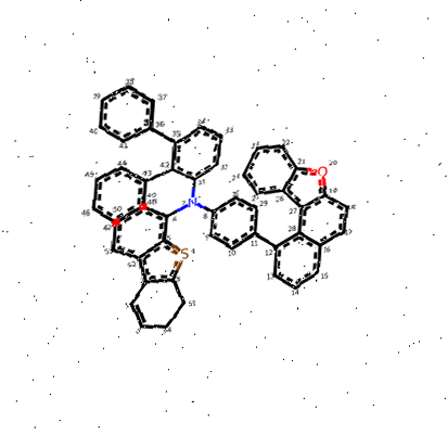 C1=Cc2c(sc3c(N(c4ccc(-c5cccc6ccc7oc8ccccc8c7c56)cc4)c4cccc(-c5ccccc5)c4-c4ccccc4)cccc23)CC1